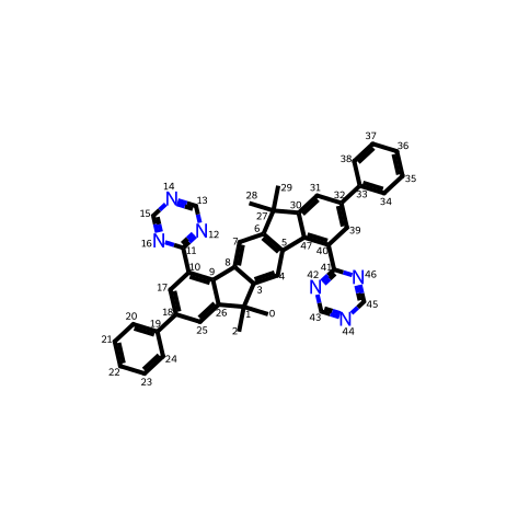 CC1(C)c2cc3c(cc2-c2c(-c4ncncn4)cc(-c4ccccc4)cc21)C(C)(C)c1cc(-c2ccccc2)cc(-c2ncncn2)c1-3